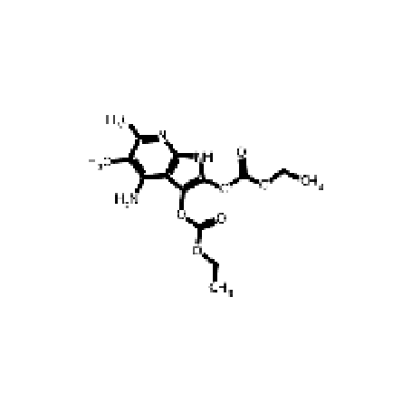 CCOC(=O)Oc1[nH]c2nc(C)c(C)c(N)c2c1OC(=O)OCC